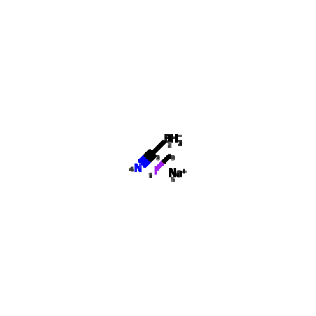 CI.[BH3-]C#N.[Na+]